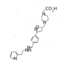 O=C(O)CN1CCN(CC2CC(c3ccc(C=NNCCc4ccccn4)cc3)=NO2)CC1